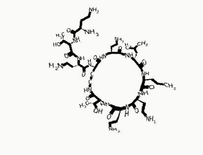 CCC[C@@H]1NC(=O)[C@@H](CC(C)C)NC(=O)[C@H](CCN)NC(=O)[C@@H](NC(=O)[C@H](CCN)NC(=O)[C@@H](NC(=O)[C@@H](N)CCN)[C@@H](C)O)CCNC(=O)[C@H]([C@@H](C)O)NC(=O)[C@H](CCN)NC(=O)[C@H](CCN)NC1=O